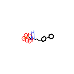 O=C(CP(=O)(O)O)NCCCc1ccc(-c2ccccc2)cc1